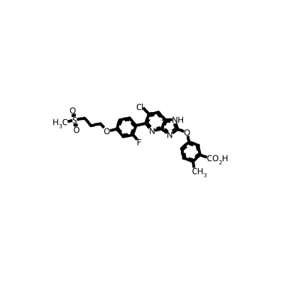 Cc1ccc(Oc2nc3nc(-c4ccc(OCCCS(C)(=O)=O)cc4F)c(Cl)cc3[nH]2)cc1C(=O)O